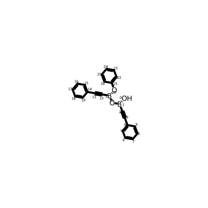 OB(C#Cc1ccccc1)OB(C#Cc1ccccc1)Oc1ccccc1